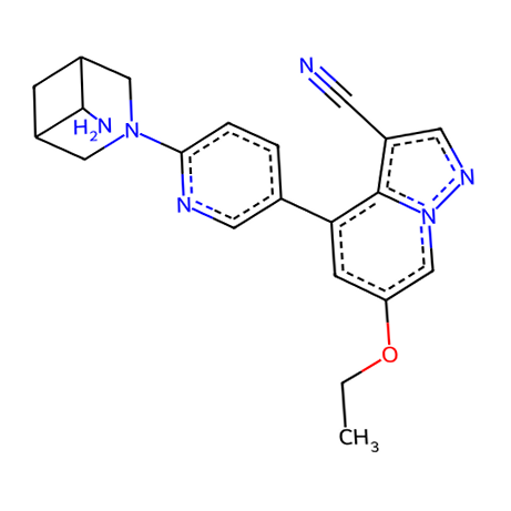 CCOc1cc(-c2ccc(N3CC4CC(C3)C4N)nc2)c2c(C#N)cnn2c1